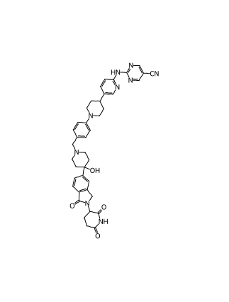 N#Cc1cnc(Nc2ccc(C3CCN(c4ccc(CN5CCC(O)(c6ccc7c(c6)CN(C6CCC(=O)NC6=O)C7=O)CC5)cc4)CC3)cn2)nc1